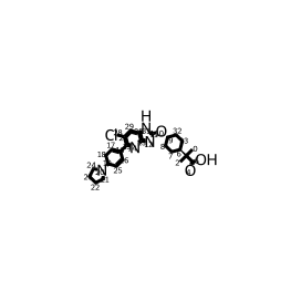 CC(C)(C(=O)O)[C@H]1CC[C@H](Oc2nc3nc(C4=CCC(N5CCCC5)C=C4)c(Cl)cc3[nH]2)CC1